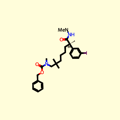 CNNC(=O)[C@](C)(CCCCC(C)(C)CN(C)C(=O)OCc1ccccc1)c1cccc(I)c1